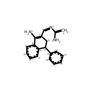 C=C(N)/N=C\C1=C(N)c2ccccc2C(c2ccccc2)C1